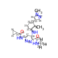 [2H]C([2H])([2H])NC(=O)c1nnc(NC(=O)C2CC2)cc1Nc1cccc(-c2cnn(C)c2)c1C